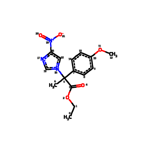 CCOC(=O)C(C)(c1ccc(OC)cc1)n1cnc([N+](=O)[O-])c1